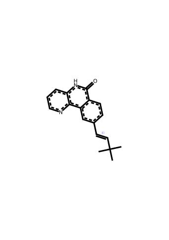 CC(C)(C)/C=C/c1ccc2c(=O)[nH]c3cccnc3c2c1